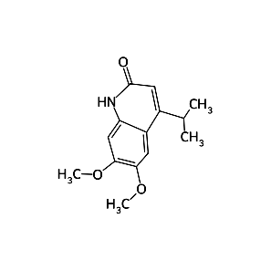 COc1cc2[nH]c(=O)cc(C(C)C)c2cc1OC